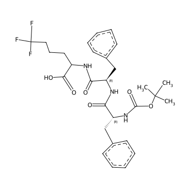 CC(C)(C)OC(=O)N[C@H](Cc1ccccc1)C(=O)N[C@H](Cc1ccccc1)C(=O)NC(CCCC(F)(F)F)C(=O)O